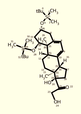 CC(C)(C)[Si](C)(C)O[C@@H]1CC2=CC=C3[C@H](CC[C@@]4(C)[C@H]3CC[C@]4(O)C(=O)CO)[C@@]2(C)[C@@H](O[Si](C)(C)C(C)(C)C)C1